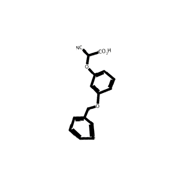 N#CC(Oc1cccc(OCc2ccccc2)c1)C(=O)O